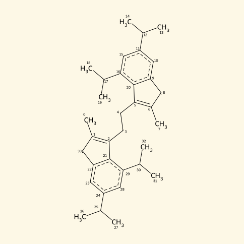 CC1=C(CCC2=C(C)[CH]c3cc(C(C)C)cc(C(C)C)c32)c2c(cc(C(C)C)cc2C(C)C)[CH]1